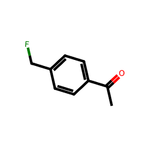 CC(=O)c1ccc(CF)cc1